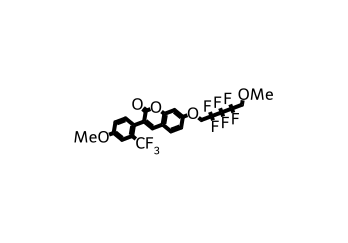 COCC(F)(F)C(F)(F)C(F)(F)COc1ccc2cc(-c3ccc(OC)cc3C(F)(F)F)c(=O)oc2c1